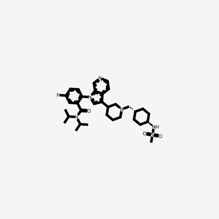 CC(C)N(C(=O)c1cc(F)ccc1-n1cc(C2CCCN(C[C@H]3CC[C@H](NS(C)(=O)=O)CC3)C2)c2ccncc21)C(C)C